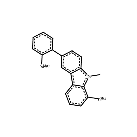 CCCCc1cccc2c3cc(-c4ccccc4SC)ccc3n(C)c12